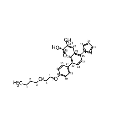 CCCCOCCOc1ccc(-c2ccc(-n3cccn3)c(C=C(C)C(=O)O)c2)cc1